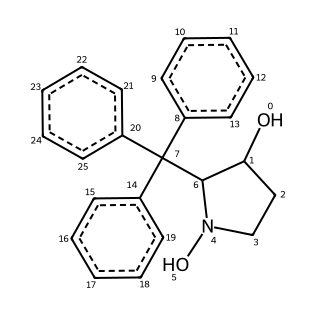 OC1CCN(O)C1C(c1ccccc1)(c1ccccc1)c1ccccc1